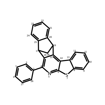 c1ccc(-c2nc3sc4ccccc4c3c3c2C2CC3c3ccccc32)cc1